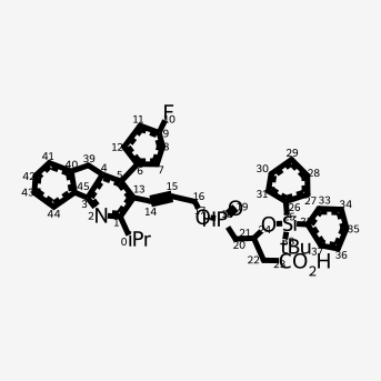 CC(C)c1nc2c(c(-c3ccc(F)cc3)c1C#CCO[PH](=O)CC(CC(=O)O)O[Si](c1ccccc1)(c1ccccc1)C(C)(C)C)Cc1ccccc1-2